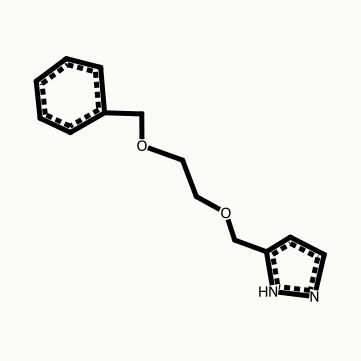 c1ccc(COCCOCc2ccn[nH]2)cc1